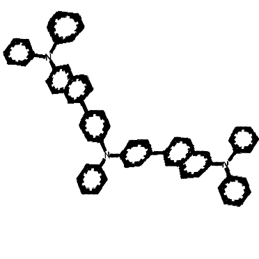 c1ccc(N(c2ccc(-c3ccc4cc(N(c5ccccc5)c5ccccc5)ccc4c3)cc2)c2ccc(-c3ccc4cc(N(c5ccccc5)c5ccccc5)ccc4c3)cc2)cc1